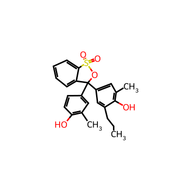 CCCc1cc(C2(c3ccc(O)c(C)c3)OS(=O)(=O)c3ccccc32)cc(C)c1O